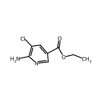 CCOC(=O)c1cnc(N)c(Cl)c1